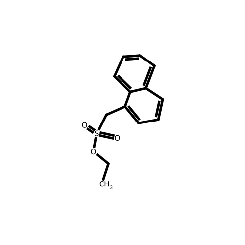 CCOS(=O)(=O)Cc1cccc2ccccc12